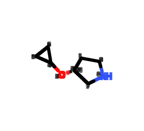 C1C[C@@H](OC2CC2)CN1